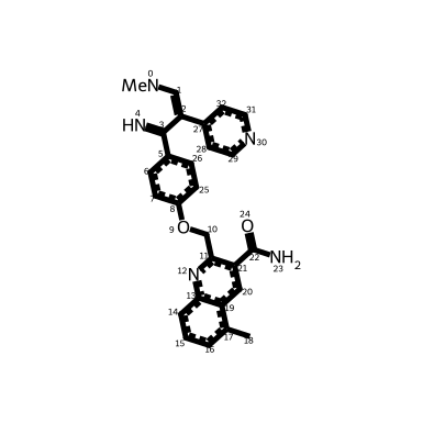 CN/C=C(\C(=N)c1ccc(OCc2nc3cccc(C)c3cc2C(N)=O)cc1)c1ccncc1